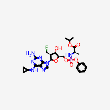 CC(C)OC(=O)[C@@H](C)NP(=O)(OC[C@H]1O[C@@H](n2cnc3c(NC4CC4)nc(N)nc32)[C@@H](CF)[C@@H]1O)Oc1ccccc1